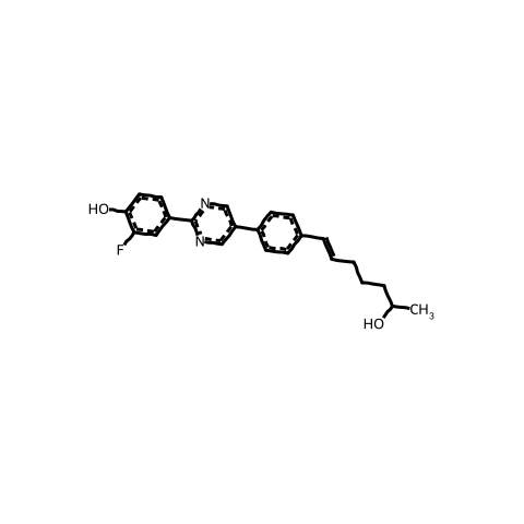 CC(O)CCCC=Cc1ccc(-c2cnc(-c3ccc(O)c(F)c3)nc2)cc1